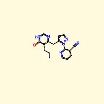 CCCc1c(Cc2ccnn2-c2ncccc2C#N)nc[nH]c1=O